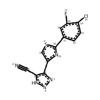 N#Cc1[nH]nnc1-c1csc(-c2ccc(Cl)c(F)c2)n1